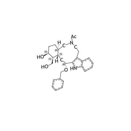 CC(=O)N1CCc2c([nH]c3ccccc23)[C@H](OCc2ccccc2)C[C@H]2[C@@H](CC[C@H](O)[C@@H]2CO)C1